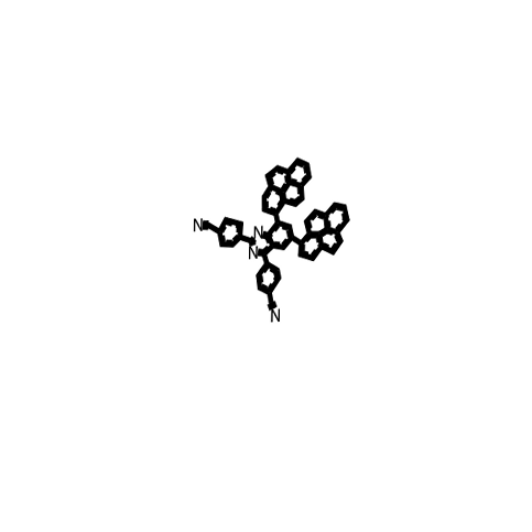 N#Cc1ccc(-c2nc(-c3ccc(C#N)cc3)c3cc(-c4ccc5ccc6cccc7ccc4c5c67)cc(-c4ccc5ccc6cccc7ccc4c5c67)c3n2)cc1